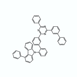 c1ccc(-c2cccc(-c3nc(-c4ccccc4)nc(-c4cccc(-c5ccccc5-n5c6ccccc6c6c(-c7ccccc7)cccc65)c4)n3)c2)cc1